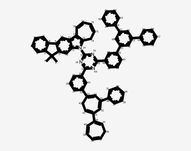 CC1(C)c2ccccc2-c2cc3c4c(n(-c5nc(-c6cccc(C7=CC(c8ccccc8)=CC(C8=CCC=CC=C8)=CC7)c6)nc(-c6cccc(-c7cc(-c8ccccc8)cc(-c8ccccc8)c7)c6)n5)c3cc21)CC=CC=C4